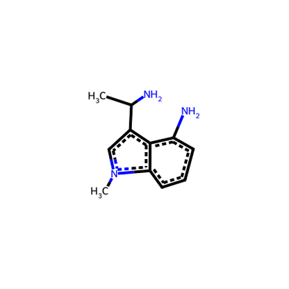 CC(N)c1cn(C)c2cccc(N)c12